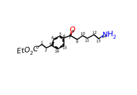 CCOC(=O)CCc1ccc(C(=O)CCCCCN)cc1